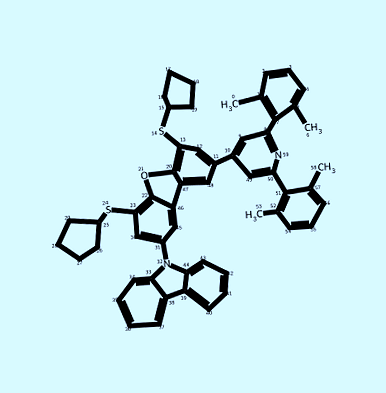 Cc1cccc(C)c1-c1cc(-c2cc(SC3CCCC3)c3oc4c(SC5CCCC5)cc(-n5c6ccccc6c6ccccc65)cc4c3c2)cc(-c2c(C)cccc2C)n1